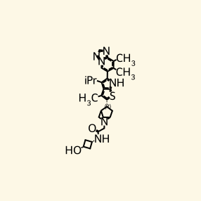 Cc1c(-c2[nH]c3sc([C@@H]4CC5CC4CN5CC(=O)N[C@H]4C[C@H](O)C4)c(C)c3c2C(C)C)cn2ncnc2c1C